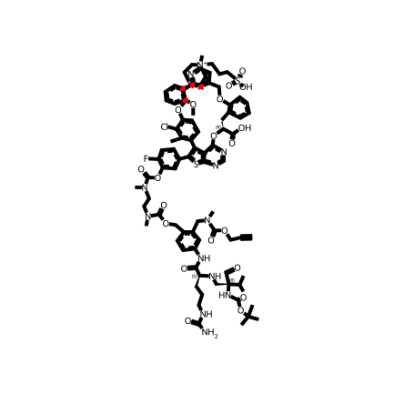 C#CCOC(=O)N(C)Cc1cc(NC(=O)[C@H](CCCNC(N)=O)NC[C@](C=O)(NC(=O)OC(C)(C)C)C(C)C)ccc1COC(=O)N(C)CCN(C)C(=O)Oc1cc(-c2sc3ncnc(O[C@H](Cc4ccccc4OCc4ccnc(-c5ccccc5OC)n4)C(=O)O)c3c2-c2ccc(OCCN3CC[N+](C)(CCCS(=O)(=O)O)CC3)c(Cl)c2C)ccc1F